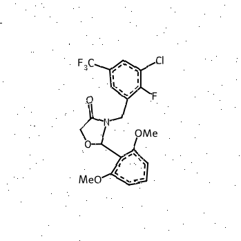 COc1cccc(OC)c1C1OCC(=O)N1Cc1cc(C(F)(F)F)cc(Cl)c1F